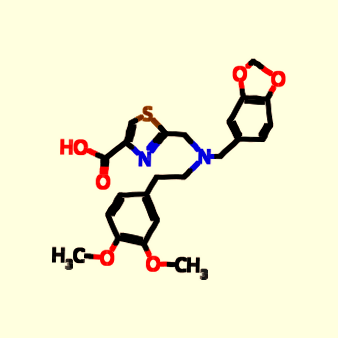 COc1ccc(CCN(Cc2ccc3c(c2)OCO3)Cc2nc(C(=O)O)cs2)cc1OC